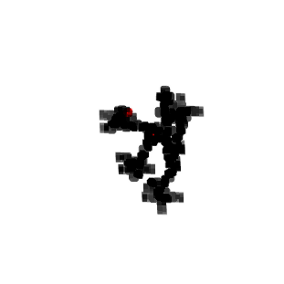 CC(=O)NC1C(OCCOCCn2cc(CN(CCCC[C@@H](C(=O)NCCNC(=O)CCC3=C(C)C(=O)OC3=O)N(Cc3cn(CCOCCOC4OC(CO)C(O)C(O)C4NC(C)=O)nn3)Cc3cn(CCOCCOC4OC(CO)C(O)N(C(C)=O)C4O)nn3)Cc3cn(CCOCCOC4OC(CO)C(O)C(O)C4NC(C)=O)nn3)nn2)OC(CO)C(O)C1O